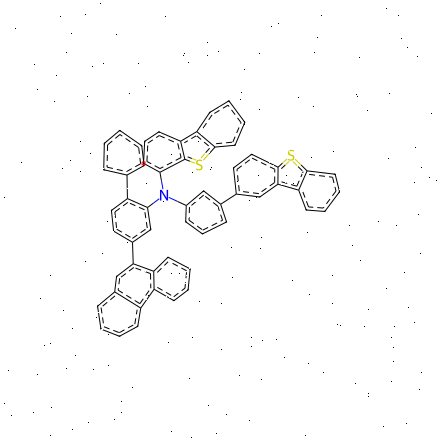 c1ccc(-c2ccc(-c3cc4ccccc4c4ccccc34)cc2N(c2cccc(-c3ccc4sc5ccccc5c4c3)c2)c2cccc3c2sc2ccccc23)cc1